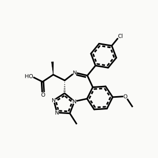 COc1ccc2c(c1)C(c1ccc(Cl)cc1)=N[C@@H]([C@H](C)C(=O)O)c1nnc(C)n1-2